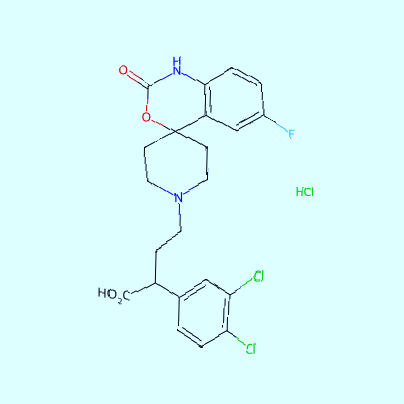 Cl.O=C1Nc2ccc(F)cc2C2(CCN(CCC(C(=O)O)c3ccc(Cl)c(Cl)c3)CC2)O1